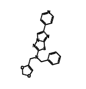 C1=C(CN(Cc2ccccc2)c2nn3cc(-c4ccncc4)nc3s2)OCO1